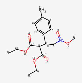 Bc1ccc([C@@H](C[N+](=O)OC)C(C(=O)OCC)C(=O)OCC)cc1